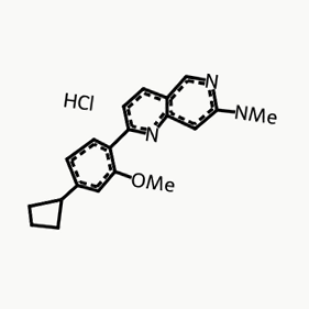 CNc1cc2nc(-c3ccc(C4CCC4)cc3OC)ccc2cn1.Cl